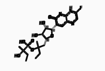 CCC(C)(C[C@H]1O[C@@H](c2cc3ncc(F)[nH]c-3nc2=O)[C@@H](O)C1O)OP(=O)(O)C(C)(O)CC